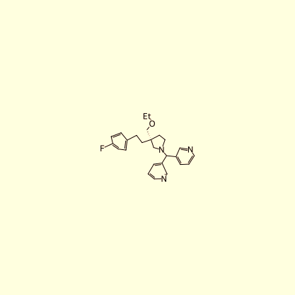 CCOC[C@]1(CCc2ccc(F)cc2)CCN(C(c2cccnc2)c2cccnc2)C1